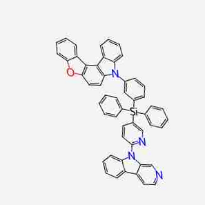 c1ccc([Si](c2ccccc2)(c2ccc(-n3c4ccccc4c4ccncc43)nc2)c2cccc(-n3c4ccccc4c4c5c(ccc43)oc3ccccc35)c2)cc1